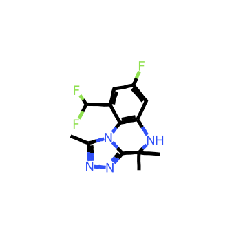 Cc1nnc2n1-c1c(cc(F)cc1C(F)F)NC2(C)C